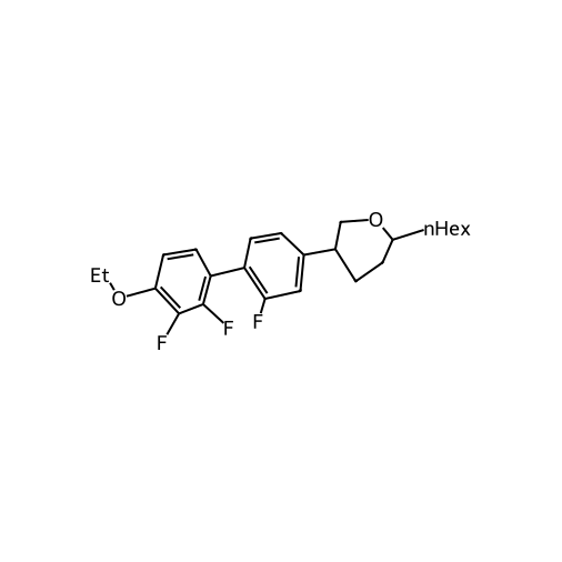 CCCCCCC1CCC(c2ccc(-c3ccc(OCC)c(F)c3F)c(F)c2)CO1